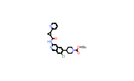 CC(C)(C)OC(=O)N1CCC(c2cc3cc(NC(=O)C4CC4c4ccccn4)ncc3cc2Cl)CC1